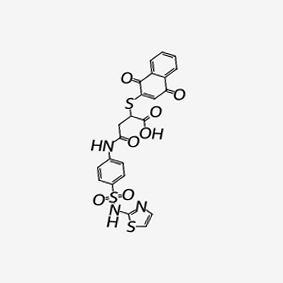 O=C(CC(SC1=CC(=O)c2ccccc2C1=O)C(=O)O)Nc1ccc(S(=O)(=O)Nc2nccs2)cc1